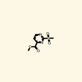 COC(=O)c1ccnc(S(C)(=O)=O)n1